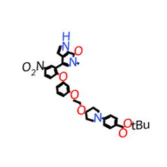 Cn1cc(-c2cc([N+](=O)[O-])ccc2Oc2cccc(OCCOC3CCN(c4ccc(C(=O)OC(C)(C)C)cc4)CC3)c2)c2cc[nH]c2c1=O